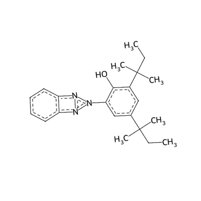 CCC(C)(C)c1cc(-n2n3c4ccccc4n23)c(O)c(C(C)(C)CC)c1